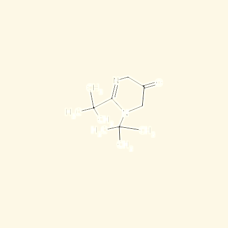 CC(C)(C)C1=NCC(=O)CN1C(C)(C)C